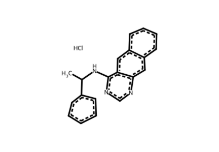 CC(Nc1ncnc2cc3ccccc3cc12)c1ccccc1.Cl